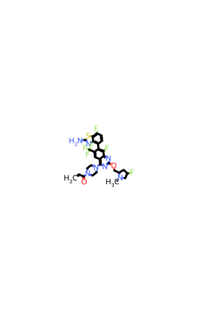 C=CC(=O)N1CCN(c2nc(OCC3CC(F)CN3C)nc3c(F)c(-c4ccc(F)c5sc(N)nc45)c(C(F)(F)F)cc23)CC1